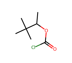 CC(OC(=O)Cl)C(C)(C)C